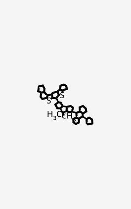 CC1(C)c2ccc(-c3c4sc5ccccc5c4cc4c3sc3ccc5ccccc5c34)cc2-c2ccc(-c3c4ccccc4c(-c4ccccc4)c4ccccc34)cc21